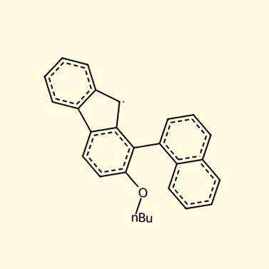 CCCCOc1ccc2c(c1-c1cccc3ccccc13)[CH]c1ccccc1-2